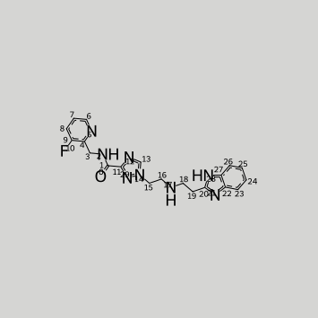 O=C(NCc1ncccc1F)c1ncn(CCNCCc2nc3ccccc3[nH]2)n1